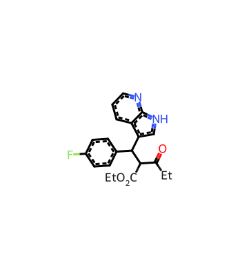 CCOC(=O)C(C(=O)CC)C(c1ccc(F)cc1)c1c[nH]c2ncccc12